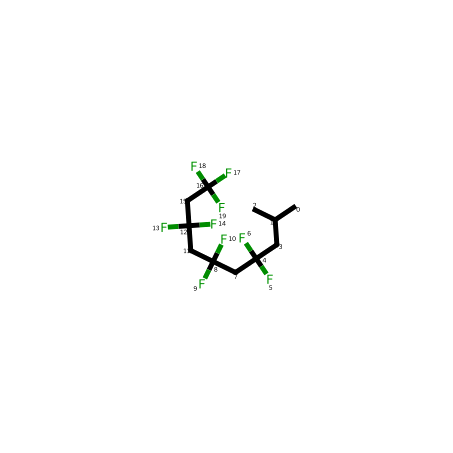 CC(C)CC(F)(F)CC(F)(F)CC(F)(F)CC(F)(F)F